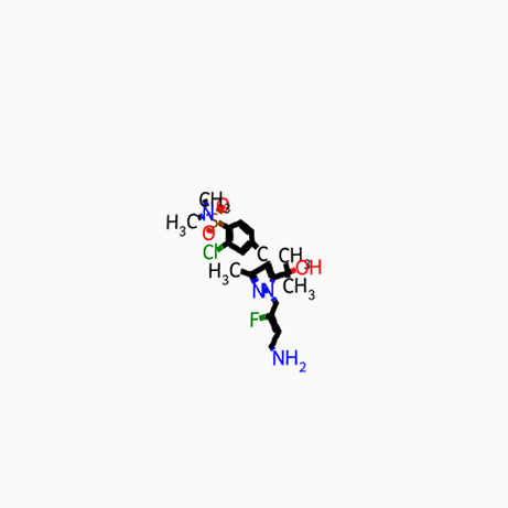 Cc1nn(CC(F)=CCN)c(C(C)(C)O)c1Cc1ccc(S(=O)(=O)N(C)C)c(Cl)c1